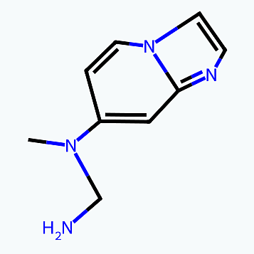 CN(CN)c1ccn2ccnc2c1